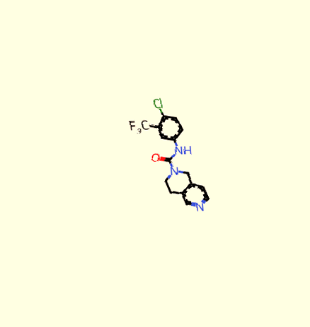 O=C(Nc1ccc(Cl)c(C(F)(F)F)c1)N1CCc2cnccc2C1